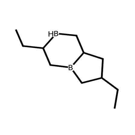 CCC1BCC2CC(CC)CB2C1